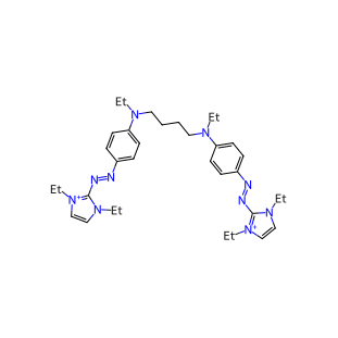 CCN(CCCCN(CC)c1ccc(N=Nc2n(CC)cc[n+]2CC)cc1)c1ccc(N=Nc2n(CC)cc[n+]2CC)cc1